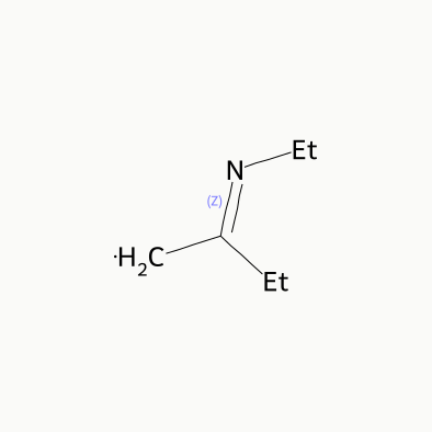 [CH2]C/C([CH2])=N\CC